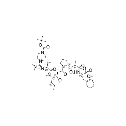 CC[C@H](C)[C@@H]([C@@H](CC(=O)N1CCC[C@H]1[C@H](OC)[C@@H](C)C(=O)N[C@@H](Cc1ccccc1)P(=O)(O)O)OC)N(C)C(=O)[C@@H](/N=C(/N(C)C)N1CCN(C(=O)OC(C)(C)C)CC1)C(C)C